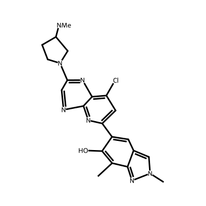 CNC1CCN(c2cnc3nc(-c4cc5cn(C)nc5c(C)c4O)cc(Cl)c3n2)C1